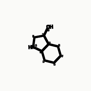 OC1CNC2CCCCC12